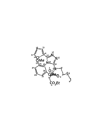 CCOC(=O)CS(=O)(=O)N(CCSI)c1nnc(-c2ccco2)n1-c1c(OC)cccc1OC